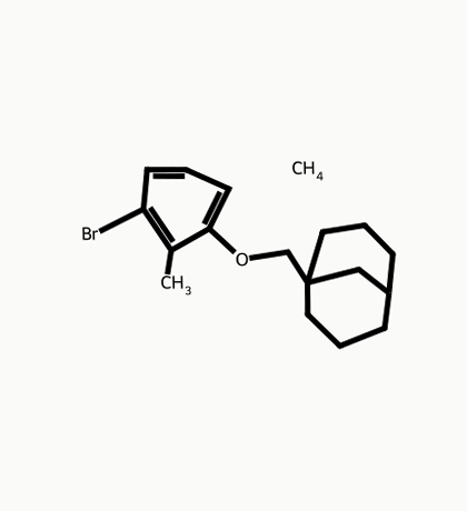 C.Cc1c(Br)cccc1OCC12CCCC(CCC1)C2